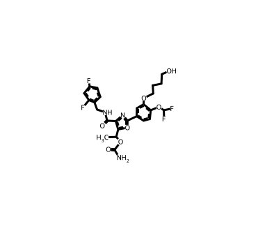 CC(OC(N)=O)c1oc(-c2ccc(OC(F)F)c(OCCCCO)c2)nc1C(=O)NCc1ccc(F)cc1F